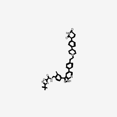 Cc1cc(-c2n[nH]c3ncc(-c4ccc(CCN5CCC(c6ccc(C7CCC(=O)NC7=O)cc6)CC5)cc4)cc23)ccc1CNC(=O)c1nc(C(C)(C)C)no1